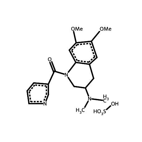 COc1cc2c(cc1OC)N(C(=O)c1cccnc1)CC(N(C)C)C2.O=S(=O)(O)O